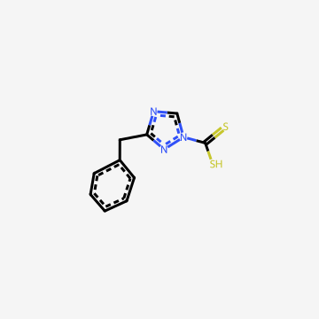 S=C(S)n1cnc(Cc2ccccc2)n1